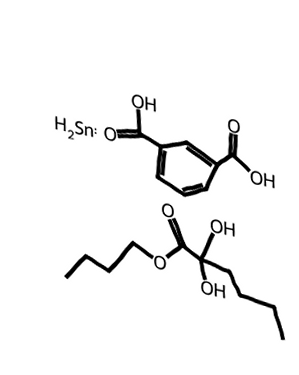 CCCCOC(=O)C(O)(O)CCCC.O=C(O)c1cccc(C(=O)O)c1.[SnH2]